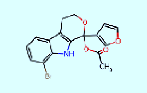 CC(=O)OC1(c2ccoc2)OCCc2c1[nH]c1c(Br)cccc21